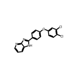 Clc1ccc(Oc2ccc(-c3nc4ncccc4[nH]3)cc2)cc1Cl